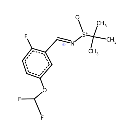 CC(C)(C)[S+]([O-])/N=C/c1cc(OC(F)F)ccc1F